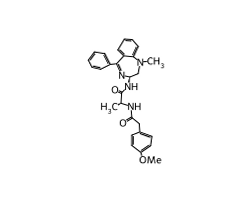 COc1ccc(CC(=O)N[C@@H](C)C(=O)N[C@@H]2CN(C)c3ccccc3C(c3ccccc3)=N2)cc1